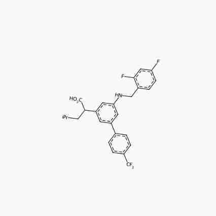 CC(C)CC(C(=O)O)c1cc(NCc2ccc(F)cc2F)cc(-c2ccc(C(F)(F)F)cc2)c1